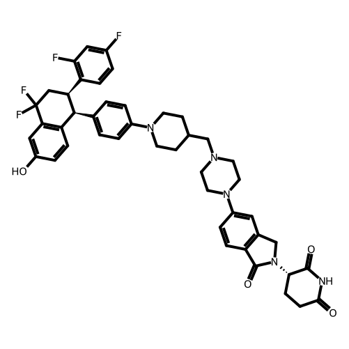 O=C1CC[C@H](N2Cc3cc(N4CCN(CC5CCN(c6ccc([C@H]7c8ccc(O)cc8C(F)(F)C[C@H]7c7ccc(F)cc7F)cc6)CC5)CC4)ccc3C2=O)C(=O)N1